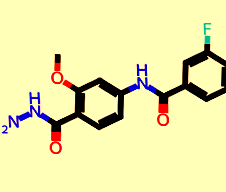 COc1cc(NC(=O)c2cccc(F)c2)ccc1C(=O)NN